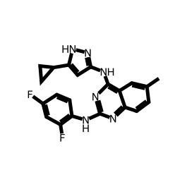 Cc1ccc2nc(Nc3ccc(F)cc3F)nc(Nc3cc(C4CC4)[nH]n3)c2c1